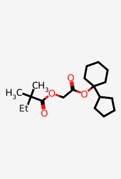 CCC(C)(C)C(=O)OCC(=O)OC1(C2CCCC2)CCCCC1